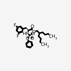 CCCCC(CCCC)COC(=O)[C@H](Cc1cc(F)cc(F)c1)NP(=O)(Cl)Oc1ccccc1